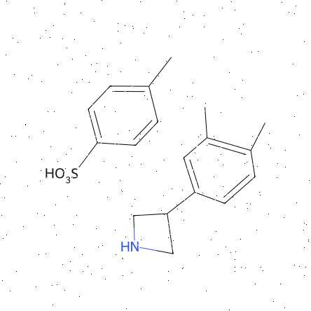 Cc1ccc(C2CNC2)cc1C.Cc1ccc(S(=O)(=O)O)cc1